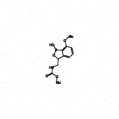 CCC(C)Oc1cccc2c1B(O)OC2CNC(=O)OC(C)(C)C